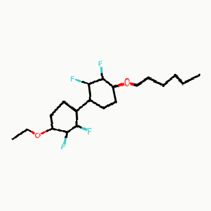 CCCCCCOC1CCC(C2CCC(OCC)C(F)C2F)C(F)C1F